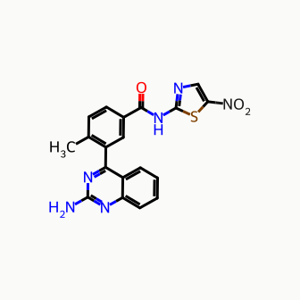 Cc1ccc(C(=O)Nc2ncc([N+](=O)[O-])s2)cc1-c1nc(N)nc2ccccc12